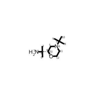 CC(C)(N)[C@@H]1CN(C(C)(C)C)CCO1